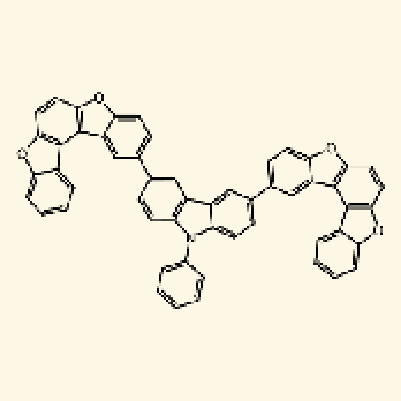 c1ccc(-n2c3ccc(-c4ccc5oc6ccc7oc8ccccc8c7c6c5c4)cc3c3cc(-c4ccc5oc6ccc7oc8ccccc8c7c6c5c4)ccc32)cc1